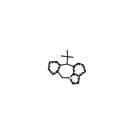 CC(C)(C)C1c2ccccc2Cn2ccc3cccc1c32